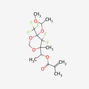 C=C(C)C(=O)OC(C)C1(C)OCOC(OC(C)OC)(C(F)(F)F)C1(F)F